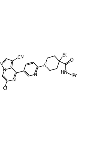 CCC1(C(=O)NC(C)C)CCN(c2ccc(-c3nc(Cl)cn4ncc(C#N)c34)cn2)CC1